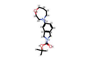 CC(C)(C)OC(=O)N1Cc2ccc(N3CCCCOCC3)cc2C1